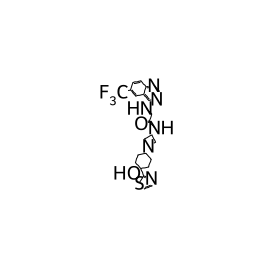 O=C(CNc1ncnc2ccc(C(F)(F)F)cc12)NC1CN([C@H]2CC[C@@](O)(c3nccs3)CC2)C1